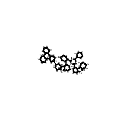 c1ccc(-c2nc(-c3ccccc3-c3cccc4oc5ccc(-c6ccc7c8ccccc8c8ccccc8c7c6)cc5c34)nc(-c3cccc4sc5ccccc5c34)n2)cc1